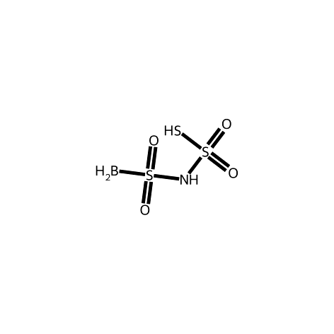 BS(=O)(=O)NS(=O)(=O)S